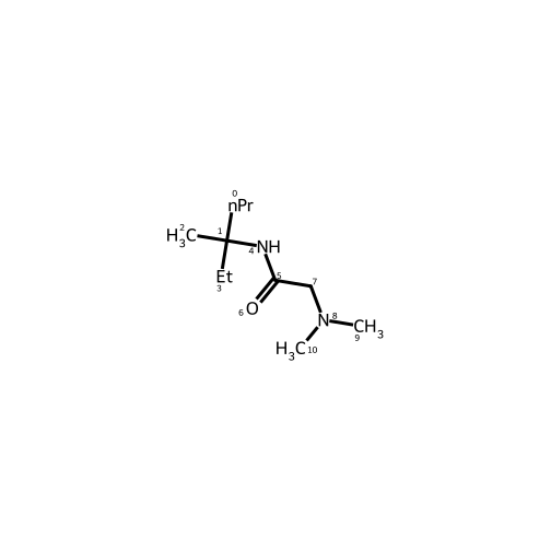 CCCC(C)(CC)NC(=O)CN(C)C